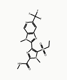 CCS(=O)(=O)c1c(-c2nc3cc(C(F)(F)F)ncc3n2C)nc(C(=O)NC)n1C